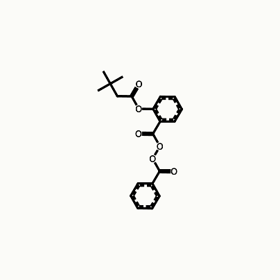 CC(C)(C)CC(=O)Oc1ccccc1C(=O)OOC(=O)c1ccccc1